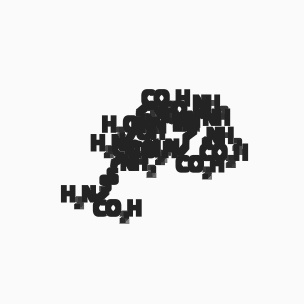 CC(C)C[C@H](N)C(=O)O.CC[C@H](C)[C@H](N)C(=O)O.C[C@@H](O)[C@H](N)C(=O)O.N=C(N)NCCC[C@H](N)C(=O)O.NC(CSSC[C@H](N)C(=O)O)C(=O)O.NCC(=O)O